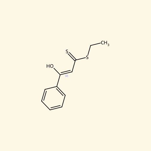 CCSC(=S)/C=C(\O)c1ccccc1